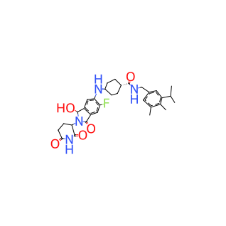 Cc1cc(CNC(=O)[C@H]2CC[C@H](Nc3cc4c(cc3F)C(=O)N(C3CCC(=O)NC3=O)C4O)CC2)cc(C(C)C)c1C